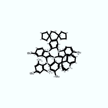 Cc1cc(C(C)(C)C)cc(C)c1B1c2cc(C(C)(C)C)cc3c2-n2c4c1c1cc(C(C)(C)C)ccc1n4c1cc4c(cc1n1c5ccc(C(C)(C)C)cc5c(c21)C31c2ccccc2Oc2ccccc21)C1(CCCC1)CCC41CCCC1